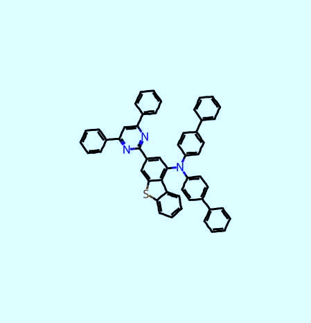 c1ccc(-c2ccc(N(c3ccc(-c4ccccc4)cc3)c3cc(-c4nc(-c5ccccc5)cc(-c5ccccc5)n4)cc4sc5ccccc5c34)cc2)cc1